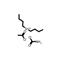 CC(=O)[O-].CCC[CH2][Sn+2][CH2]CCC.NC(=O)[O-]